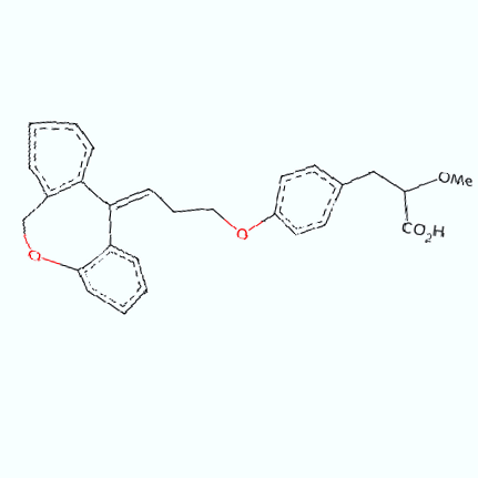 COC(Cc1ccc(OCCC=C2c3ccccc3COc3ccccc32)cc1)C(=O)O